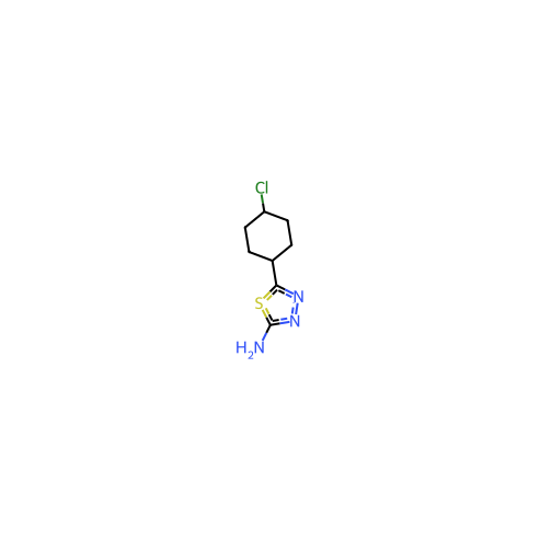 Nc1nnc(C2CCC(Cl)CC2)s1